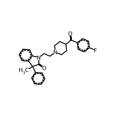 CC1(c2ccccc2)C(=O)N(CCN2CCC(C(=O)c3ccc(F)cc3)CC2)c2ccccc21